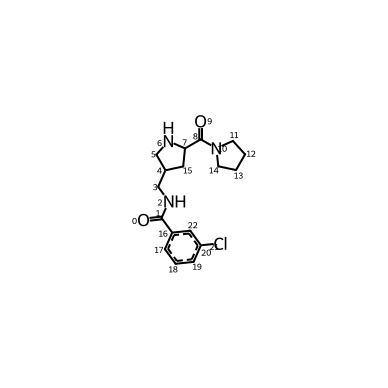 O=C(NCC1CNC(C(=O)N2CCCC2)C1)c1cccc(Cl)c1